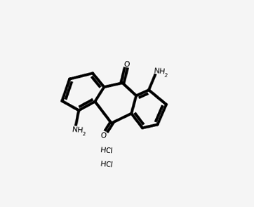 Cl.Cl.Nc1cccc2c1C(=O)c1cccc(N)c1C2=O